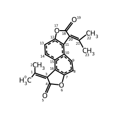 CC(C)=C1C(=O)Oc2ccc3c4c(ccc3c21)OC(=O)C4=C(C)C